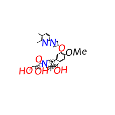 COc1ccc([C@@H]2CN(C(=O)[C@@H](O)CO)C[C@@]2(C)[C@@H](C)O)cc1OC1CN(c2ccc(C)c(C)n2)C1